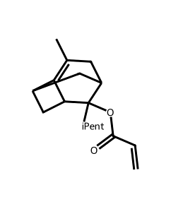 C=CC(=O)OC1(C(C)CCC)C2CC(C)=C3C(C2)CC31